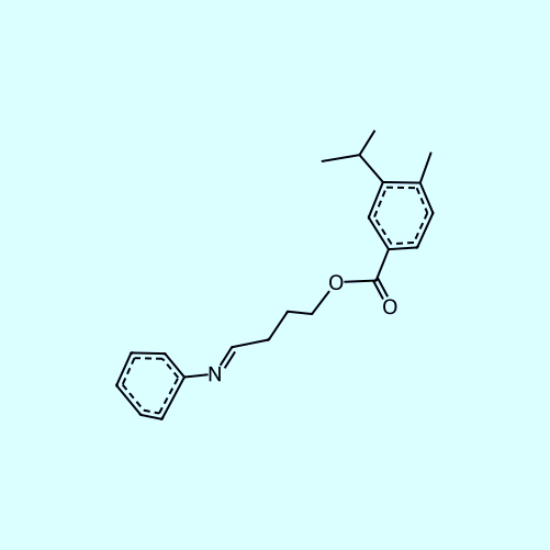 Cc1ccc(C(=O)OCCCC=Nc2ccccc2)cc1C(C)C